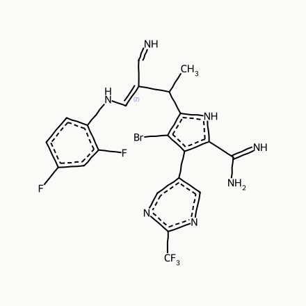 CC(/C(C=N)=C/Nc1ccc(F)cc1F)c1[nH]c(C(=N)N)c(-c2cnc(C(F)(F)F)nc2)c1Br